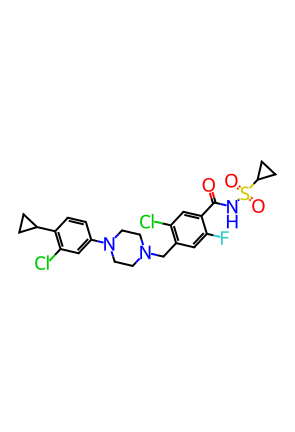 O=C(NS(=O)(=O)C1CC1)c1cc(Cl)c(CN2CCN(c3ccc(C4CC4)c(Cl)c3)CC2)cc1F